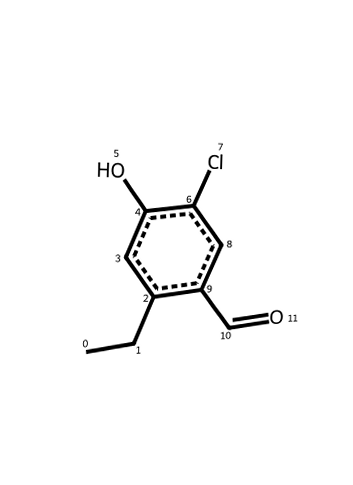 CCc1cc(O)c(Cl)cc1C=O